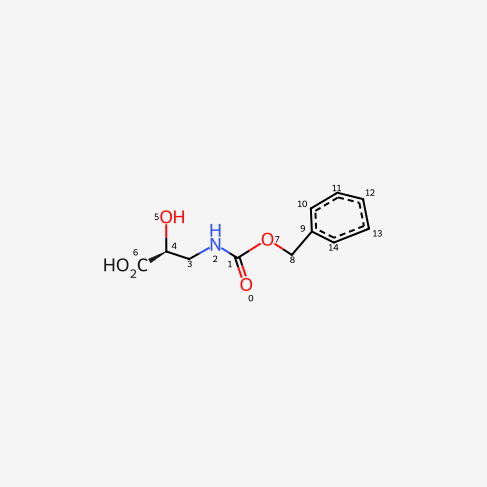 O=C(NC[C@H](O)C(=O)O)OCc1ccccc1